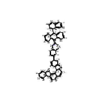 C/C(=C\c1ccc(-c2ccc3c(c2)sc2ccc4ccc5c(c4c23)SC2C=CC=CC52)cc1C)c1c2ccccc2c(-c2cccc3ccccc23)c2ccccc12